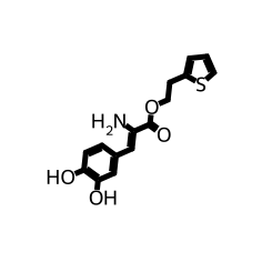 N/C(=C\c1ccc(O)c(O)c1)C(=O)OCCc1cccs1